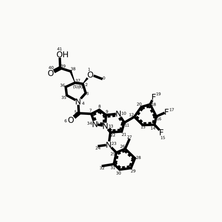 CO[C@H]1CN(C(=O)c2cc3nc(-c4cc(F)c(F)c(F)c4)cc(N(C)c4c(C)cccc4C)n3n2)CC[C@H]1CC(=O)O